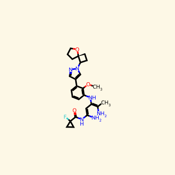 COc1c(NC(/C=C(\N)NC(=O)C2(F)CC2)=C(\C)N)cccc1-c1cnn(C2CC[C@]23CCCO3)c1